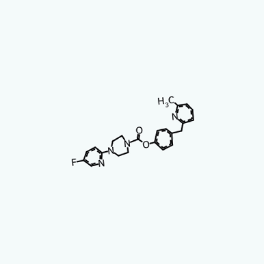 Cc1cccc(Cc2ccc(OC(=O)N3CCN(c4ccc(F)cn4)CC3)cc2)n1